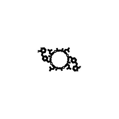 CC1=CN(C)C(CC(C)C)=COC(Cc2ccc(Cc3cccnc3F)cc2)=CN(C)C(CC(C)C)=COC(C)=CN(C)C(CC(C)C)=COC(Cc2ccc(Cc3cccnc3F)cc2)=CN(C)C(CC(C)C)=CO1